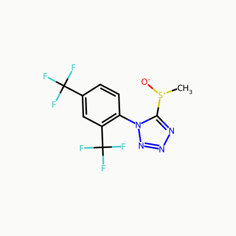 C[S+]([O-])c1nnnn1-c1ccc(C(F)(F)F)cc1C(F)(F)F